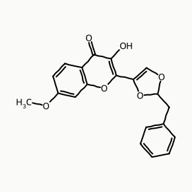 COc1ccc2c(=O)c(O)c(C3=COC(Cc4ccccc4)O3)oc2c1